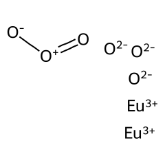 O=[O+][O-].[Eu+3].[Eu+3].[O-2].[O-2].[O-2]